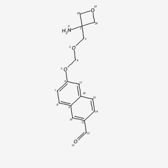 NC1(COCOc2ccc3cc(C=O)ccc3c2)COC1